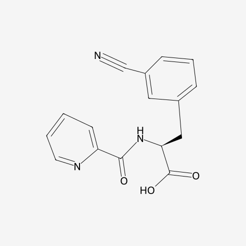 N#Cc1cccc(C[C@H](NC(=O)c2ccccn2)C(=O)O)c1